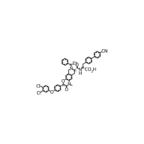 CC[C@@H](c1ccccc1)N1Cc2cc3c(cc2C[C@H]1C(=O)N[C@H](Cc1ccc(-c2ccc(C#N)cc2)cc1)C(=O)O)N(C)C(=O)[C@@H](c1ccc(Oc2ccc(Cl)c(Cl)c2)cc1)O3